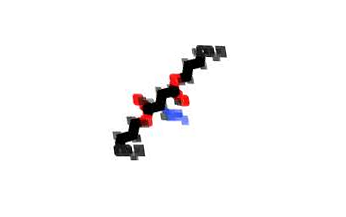 N[C@@H](CC(=O)OCCCC(=O)O)C(=O)OCCCC(=O)O